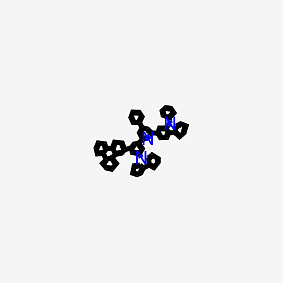 c1ccc(-c2cc(-c3cc(-c4ccc5c6ccccc6c6ccccc6c5c4)cc(-n4c5ccccc5c5ccccc54)c3)nc(-c3ccc4c5ccccc5n(-c5ccccc5)c4c3)c2)cc1